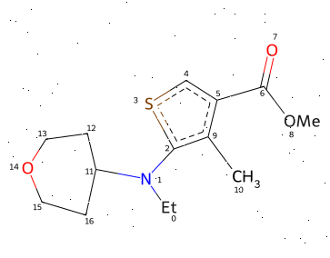 CCN(c1scc(C(=O)OC)c1C)C1CCOCC1